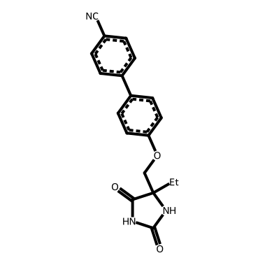 CCC1(COc2ccc(-c3ccc(C#N)cc3)cc2)NC(=O)NC1=O